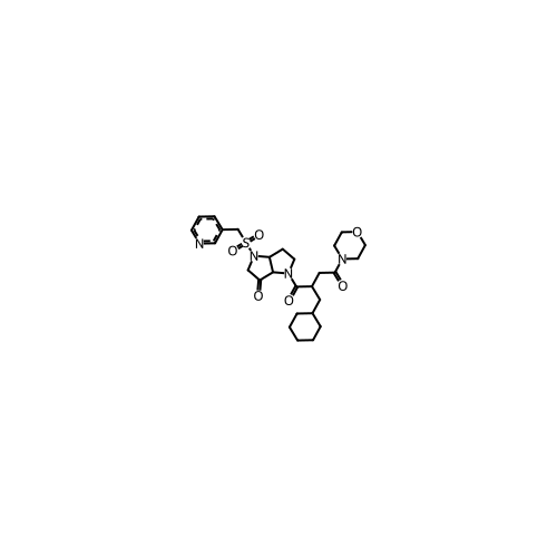 O=C1CN(S(=O)(=O)Cc2cccnc2)C2CCN(C(=O)C(CC(=O)N3CCOCC3)CC3CCCCC3)C12